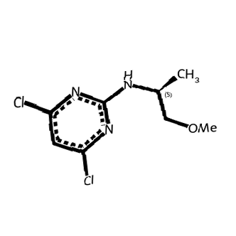 COC[C@H](C)Nc1nc(Cl)cc(Cl)n1